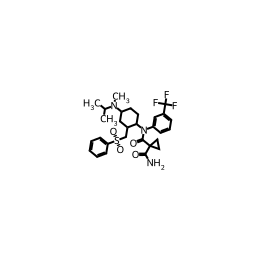 CC(C)N(C)C1CCC(N(C(=O)C2(C(N)=O)CC2)c2cccc(C(F)(F)F)c2)C(CS(=O)(=O)c2ccccc2)C1